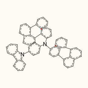 c1ccc(-c2cccc3cccc(-c4ccc(N(c5ccc(-n6c7ccccc7c7ccccc76)cc5)c5ccccc5-c5cccc6cccc(-c7ccccc7)c56)cc4)c23)cc1